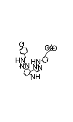 CNc1ccc2c(nc(NCc3ccc(OC)cc3)n2C)c1-c1ccnc(Nc2cccc(CCS(C)(=O)=O)c2)n1